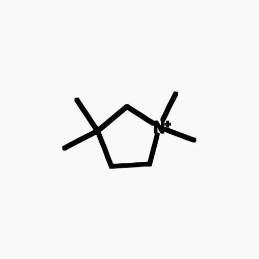 CC1(C)CC[N+](C)(C)C1